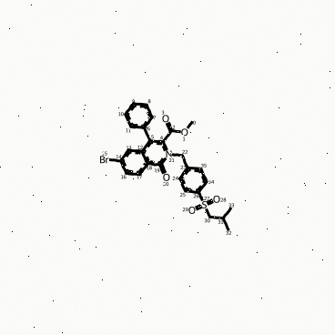 COC(=O)c1c(-c2ccccc2)c2cc(Br)ccc2c(=O)n1Cc1ccc(S(=O)(=O)CC(C)C)cc1